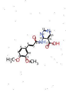 COc1ccc(/C=C/C(=O)Nc2ncncc2C(=O)O)cc1OC